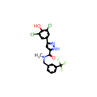 CN(Cc1cccc(C(F)(F)F)c1)C(=O)c1cc(-c2cc(Cl)c(O)c(Cl)c2)n[nH]1